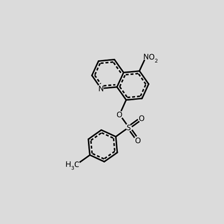 Cc1ccc(S(=O)(=O)Oc2ccc([N+](=O)[O-])c3cccnc23)cc1